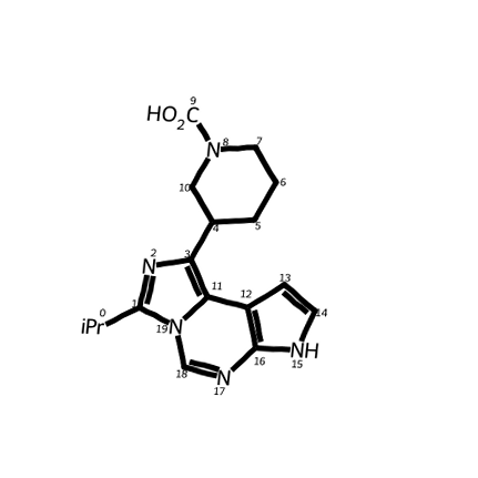 CC(C)c1nc(C2CCCN(C(=O)O)C2)c2c3cc[nH]c3ncn12